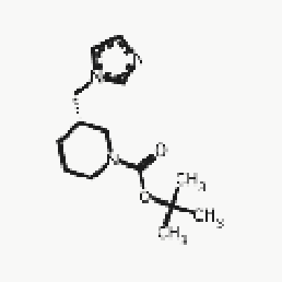 CC(C)(C)OC(=O)N1CCC[C@H](Cn2ccnc2)C1